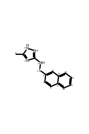 Cc1nc(NSc2ccc3ccccc3c2)n[nH]1